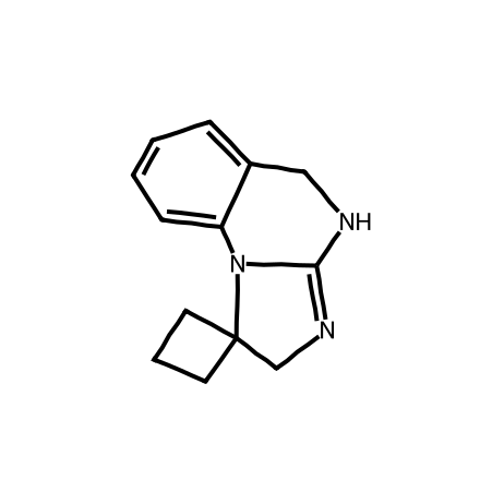 c1ccc2c(c1)CNC1=NCC3(CCC3)N12